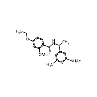 COc1nc(OCC(F)(F)F)ccc1C(=O)NC(C)c1cc(C)nc(NC(C)=O)c1